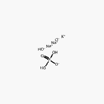 O=P([O-])(O)O.[Cl-].[K+].[Na+].[Na+].[OH-]